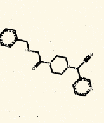 N#CC(c1cccnc1)N1CCN(C(=O)CNCc2ccccc2)CC1